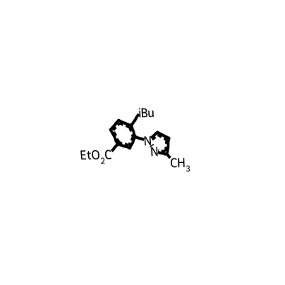 CCOC(=O)c1ccc(C(C)CC)c(-n2ccc(C)n2)c1